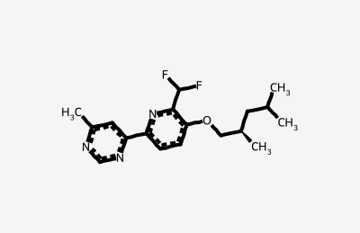 Cc1cc(-c2ccc(OC[C@H](C)CC(C)C)c(C(F)F)n2)ncn1